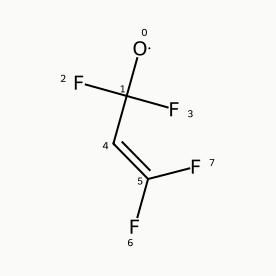 [O]C(F)(F)C=C(F)F